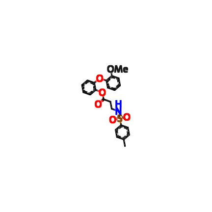 COc1ccccc1Oc1ccccc1OC(=O)CCNS(=O)(=O)c1ccc(C)cc1